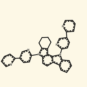 c1ccc(-c2ccc(-n3c4c(c5c3ccc3c6ccccc6n(-c6ccc(-c7ccccn7)cn6)c35)CCCC4)nc2)nc1